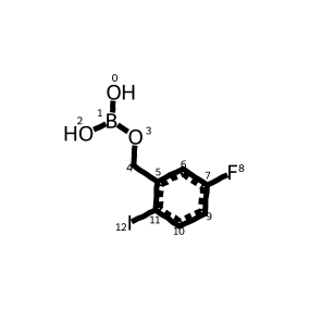 OB(O)OCc1cc(F)ccc1I